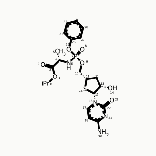 CC(C)OC(=O)[C@H](C)NP(=O)(OC[C@@H]1C[C@H](O)[C@H](n2ccc(N)nc2=O)S1)Oc1ccccc1